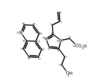 C=CCc1ncc(CCO)n1CC(=O)O.c1ccc2ncccc2c1